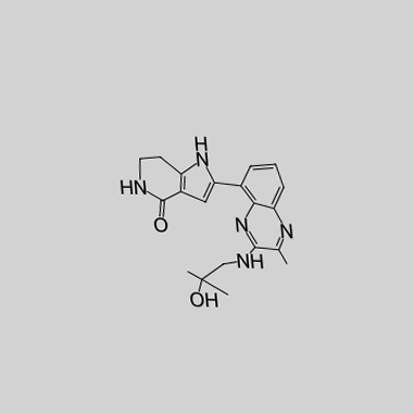 Cc1nc2cccc(-c3cc4c([nH]3)CCNC4=O)c2nc1NCC(C)(C)O